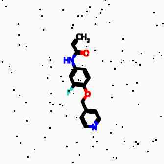 C=CC(=O)Nc1ccc(OCc2ccncc2)c(F)c1